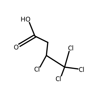 O=C(O)CC(Cl)C(Cl)(Cl)Cl